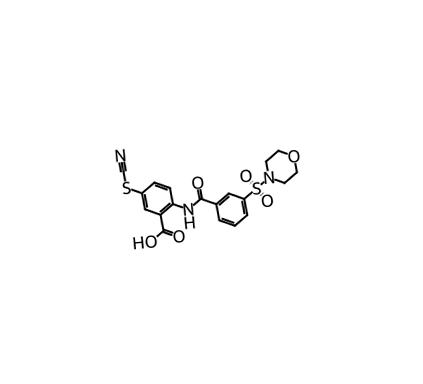 N#CSc1ccc(NC(=O)c2cccc(S(=O)(=O)N3CCOCC3)c2)c(C(=O)O)c1